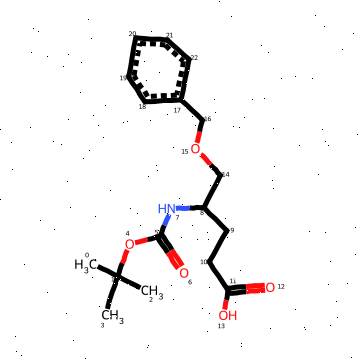 CC(C)(C)OC(=O)NC(CCC(=O)O)COCc1ccccc1